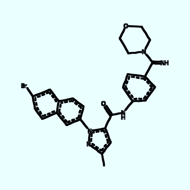 Cc1cc(C(=O)Nc2ccc(C(=N)N3CCOCC3)cc2)n(-c2ccc3cc(Br)ccc3c2)n1